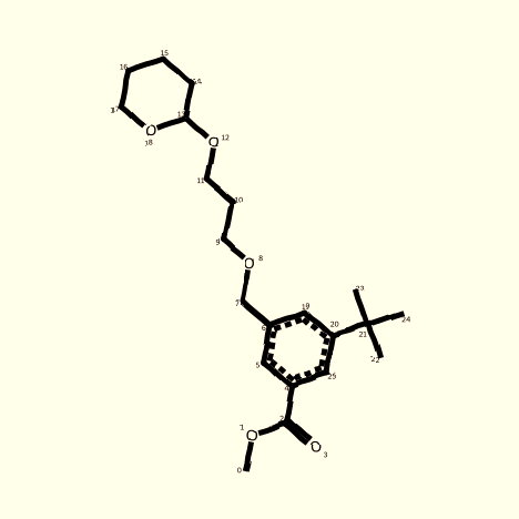 COC(=O)c1cc(COCCCOC2CCCCO2)cc(C(C)(C)C)c1